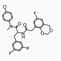 CN(C(=O)C(Cc1cc(F)cc(F)c1)NC(=O)Cc1cc(F)cc2c1OCOC2)c1ccc(Cl)cc1